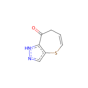 O=C1CC=CSc2cn[nH]c21